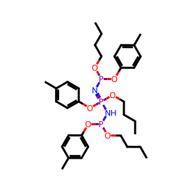 CCCCOP(N=P(NP(OCCCC)Oc1ccc(C)cc1)(OCCCC)Oc1ccc(C)cc1)Oc1ccc(C)cc1